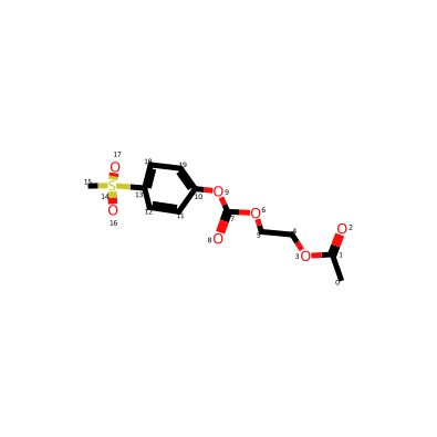 CC(=O)OCCOC(=O)Oc1ccc(S(C)(=O)=O)cc1